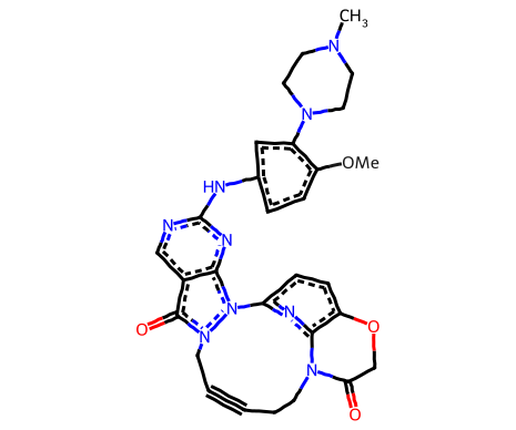 COc1ccc(Nc2ncc3c(=O)n4n(c3n2)-c2ccc3c(n2)N(CCC#CC4)C(=O)CO3)cc1N1CCN(C)CC1